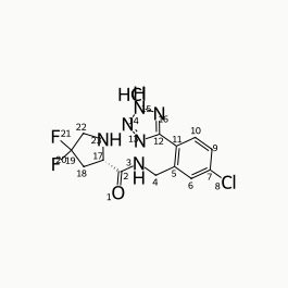 Cl.O=C(NCc1cc(Cl)ccc1-c1nn[nH]n1)[C@@H]1CC(F)(F)CN1